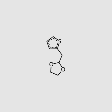 [CH](c1cccs1)C1OCCO1